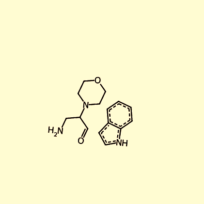 NCC(C=O)N1CCOCC1.c1ccc2[nH]ccc2c1